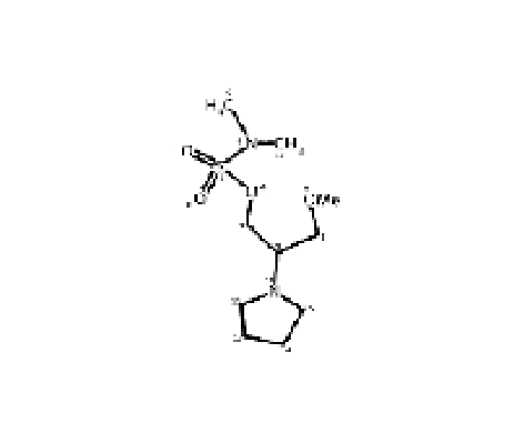 COCC(COS(=O)(=O)N(C)C)N1CCCC1